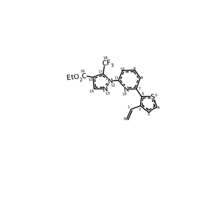 C=Cc1ccsc1-c1cccc(-n2ncc(C(=O)OCC)c2C(F)(F)F)n1